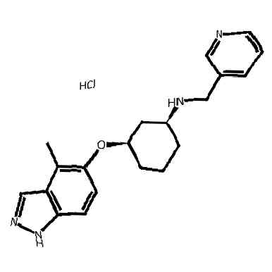 Cc1c(O[C@@H]2CCC[C@H](NCc3cccnc3)C2)ccc2[nH]ncc12.Cl